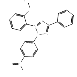 COc1ccccc1-[n+]1nc(-c2ccccc2)nn1-c1ccc([N+](=O)[O-])cc1